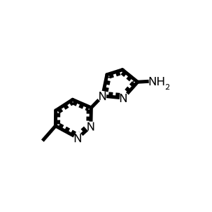 Cc1ccc(-n2ccc(N)n2)nn1